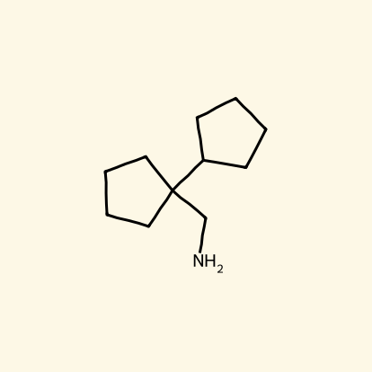 NCC1(C2CCCC2)CCCC1